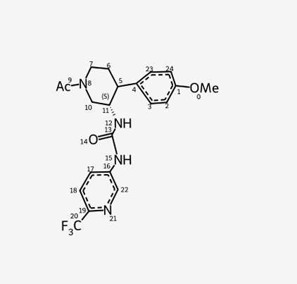 COc1ccc(C2CCN(C(C)=O)C[C@H]2NC(=O)Nc2ccc(C(F)(F)F)nc2)cc1